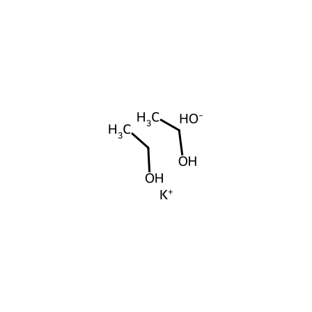 CCO.CCO.[K+].[OH-]